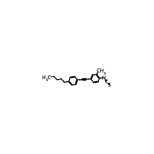 CCCCCc1ccc(C#Cc2ccc(N=C=S)c(C)c2)cc1